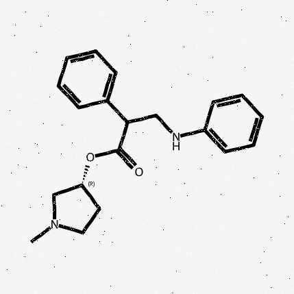 CN1CC[C@@H](OC(=O)C(CNc2ccccc2)c2ccccc2)C1